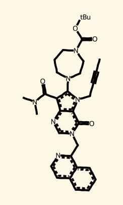 CC#CCn1c(N2CCCN(C(=O)OC(C)(C)C)CC2)c(C(=O)N(C)C)c2ncn(Cc3nccc4ccccc34)c(=O)c21